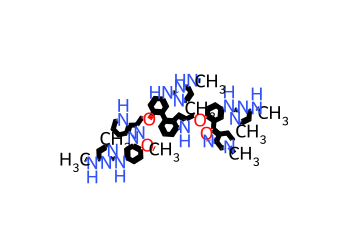 CNc1cc(C)nc(Nc2ccc(OCc3cc4c(-c5cc(Nc6nc(C)cc(NC)n6)ccc5OCc5nn(-c6cc(Nc7nc(C)cc(NC)n7)ccc6OC)c6c5NCCC6)cccc4[nH]3)c(-c3onc4c3CCN(C)C4)c2)n1